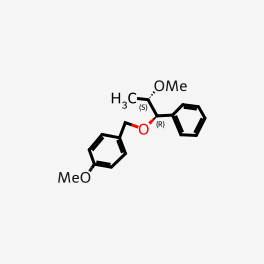 COc1ccc(CO[C@H](c2ccccc2)[C@H](C)OC)cc1